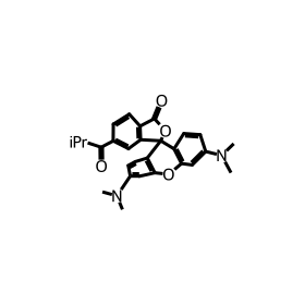 CC(C)C(=O)c1ccc2c(c1)C1(OC2=O)c2ccc(N(C)C)cc2Oc2cc(N(C)C)ccc21